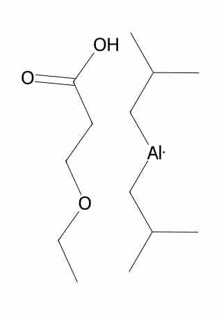 CC(C)[CH2][Al][CH2]C(C)C.CCOCCC(=O)O